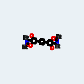 CCO/N=C(/CC)C1C(=O)CC(c2ccc(C3CC(=O)C(/C(CC)=N\OCC)C(=O)C3)cc2)CC1=O